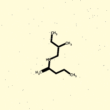 C=C(CCC)NCC(C)CC